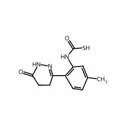 Cc1ccc(C2=NNC(=O)CC2)c(NC(=O)S)c1